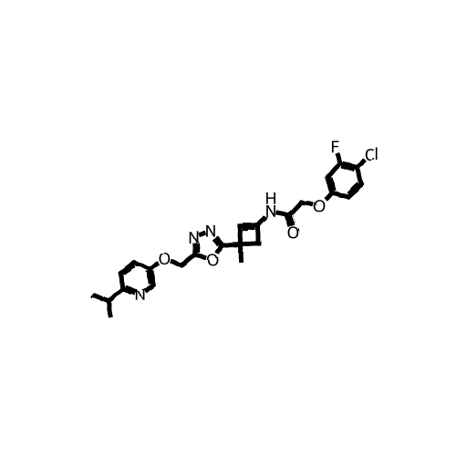 CC(C)c1ccc(OCc2nnc(C3(C)C=C(NC(=O)COc4ccc(Cl)c(F)c4)C3)o2)cn1